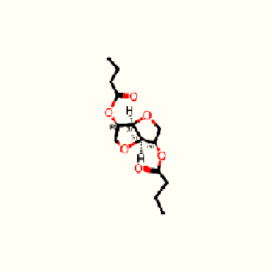 CCCC(=O)O[C@@H]1CO[C@H]2[C@@H]1OC[C@H]2OC(=O)CCC